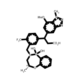 COc1cc(C(CC(=O)O)c2ccc(C(F)(F)F)c(CN3C[C@@H](C)Oc4ccccc4S3(O)O)c2)cc2nnn(C)c12